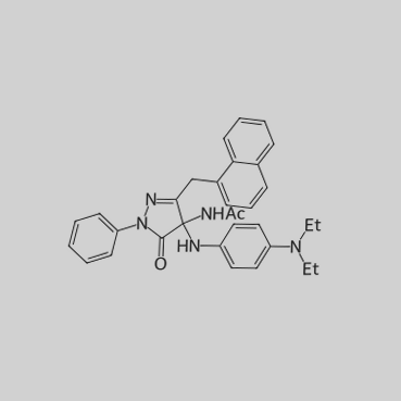 CCN(CC)c1ccc(NC2(NC(C)=O)C(=O)N(c3ccccc3)N=C2Cc2cccc3ccccc23)cc1